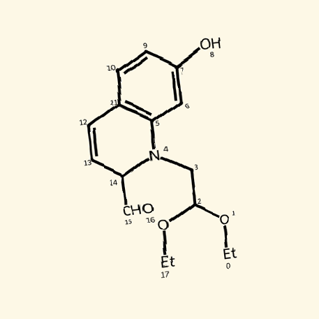 CCOC(CN1c2cc(O)ccc2C=CC1C=O)OCC